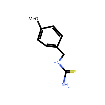 COc1ccc(CNC(N)=S)cc1